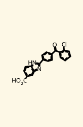 O=C(O)c1ccc2[nH]c(-c3ccc(C(=O)c4ccccc4Cl)cc3)nc2c1